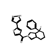 O=C(c1csc(-c2cn[nH]c2)c1)N1CC2CCCC(F)(c3ccccc3)C2C1